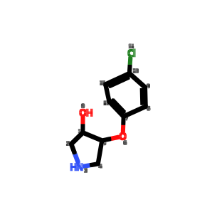 OC1CNCC1Oc1ccc(Cl)cc1